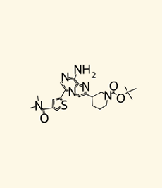 CN(C)C(=O)c1csc(-c2cnc(N)c3nc(C4CCCN(C(=O)OC(C)(C)C)C4)cn23)c1